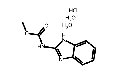 COC(=O)Nc1nc2ccccc2[nH]1.Cl.O.O